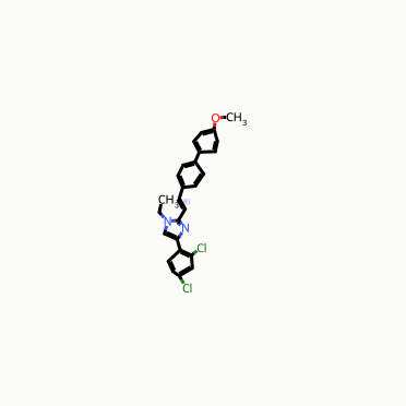 CCn1cc(-c2ccc(Cl)cc2Cl)nc1/C=C/c1ccc(-c2ccc(OC)cc2)cc1